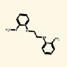 COc1ccccc1NCCNc1ccccc1N